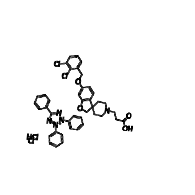 Cl.O=C(O)CCN1CCC2(CC1)COc1cc(OCc3cccc(Cl)c3Cl)ccc12.[Cl-].c1ccc(-c2nn(-c3ccccc3)[n+](-c3ccccc3)n2)cc1